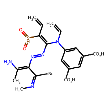 C=C/C(=C(N=NC(/C(CCCC)=N\C)=C(/C)N)\N(C=C)c1cc(C(=O)O)cc(C(=O)O)c1)[SH](=O)=O